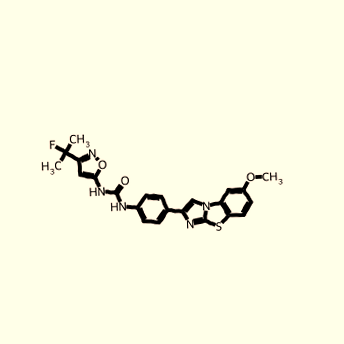 COc1ccc2sc3nc(-c4ccc(NC(=O)Nc5cc(C(C)(C)F)no5)cc4)cn3c2c1